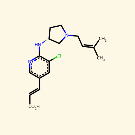 CC(C)=CCN1CC[C@@H](Nc2ncc(/C=C/C(=O)O)cc2Cl)C1